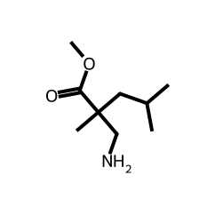 COC(=O)C(C)(CN)CC(C)C